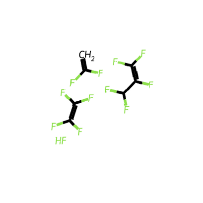 C=C(F)F.F.FC(F)=C(F)C(F)F.FC(F)=C(F)F